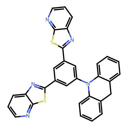 c1ccc2c(c1)Cc1ccccc1N2c1cc(-c2nc3cccnc3s2)cc(-c2nc3cccnc3s2)c1